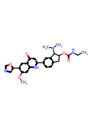 CCNC(=O)OC1Cc2ccc(-c3cc(=O)c4cc(-c5cnco5)c(OC)cc4[nH]3)cc2C1N(C)C